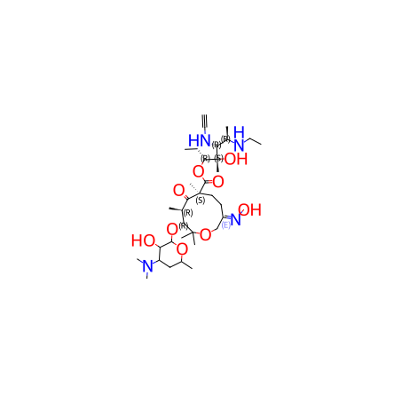 C#CN[C@H]([C@@H](C)NCC)[C@](C)(O)[C@@H](CC)OC(=O)[C@@]1(C)CC/C(=N\O)COC(C)(C)[C@H](OC2OC(C)CC(N(C)C)C2O)[C@@H](C)C1=O